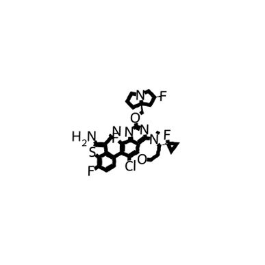 CN1c2nc(OC[C@@]34CCCN3C[C@H](F)C4)nc3c(F)c(-c4ccc(F)c5sc(N)c(C#N)c45)c(Cl)c(c23)OCC[C@H]1C1(F)CC1